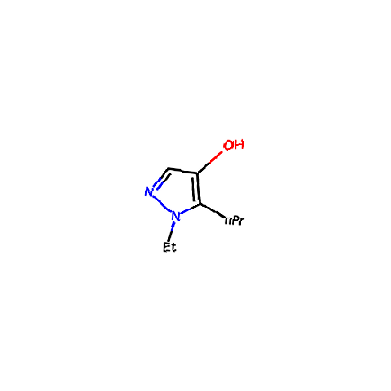 CCCc1c(O)cnn1CC